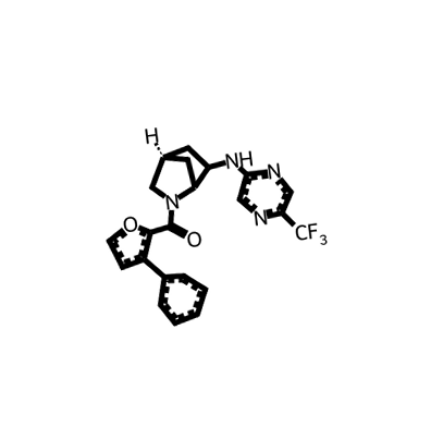 O=C(c1occc1-c1ccccc1)N1C[C@H]2CC(Nc3cnc(C(F)(F)F)cn3)C1C2